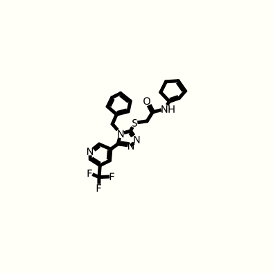 O=C(CSc1nnc(-c2cncc(C(F)(F)F)c2)n1Cc1ccccc1)NC1=CC=CCC1